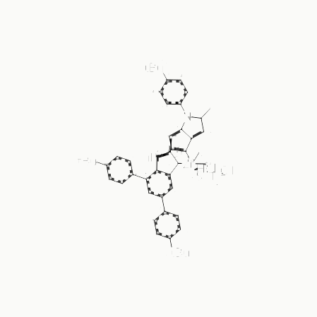 CC1=Cc2c(-c3ccc(C(C)(C)C)cc3)cc(-c3ccc(C(C)(C)C)cc3)cc2[CH]1[Zr]([CH3])([CH3])(=[SiH2])[C]1=C(C(C)C)C=C2C1=CC(C)N2c1ccc(C(C)(C)C)cc1.Cl.Cl